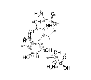 CCC(C)C(N)C(=O)O.C[C@@H](O)[C@H](N)C(=O)O.NCC(=O)O.Oc1nc(O)c2cn[nH]c2n1